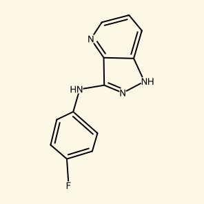 Fc1ccc(Nc2n[nH]c3cccnc23)cc1